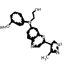 COc1cccc(N(CCO)c2ccc3ncc(-c4c[nH]nc4C)nc3c2)c1